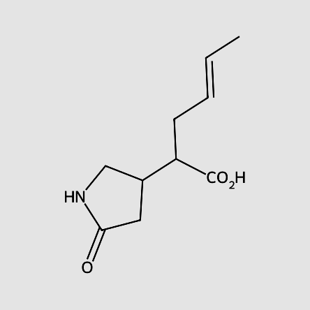 CC=CCC(C(=O)O)C1CNC(=O)C1